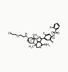 CC(C)n1nc(-c2cc(F)c(NS(=O)(=O)c3ccccc3F)cc2F)c2c1C(C)([C@H]1CC[C@H](NCCOCCCl)CC1)CN=C2N